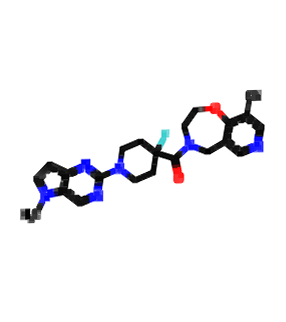 Cn1ccc2nc(N3CCC(F)(C(=O)N4CCOc5c(C#N)cncc5C4)CC3)ncc21